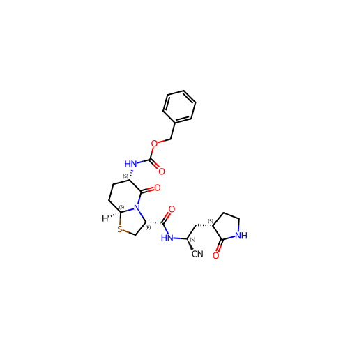 N#C[C@H](C[C@@H]1CCNC1=O)NC(=O)[C@@H]1CS[C@H]2CC[C@H](NC(=O)OCc3ccccc3)C(=O)N21